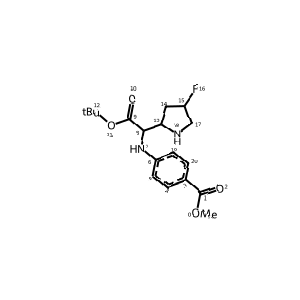 COC(=O)c1ccc(NC(C(=O)OC(C)(C)C)C2CC(F)CN2)cc1